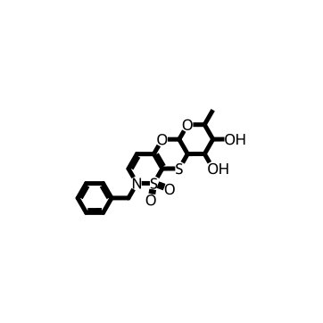 CC1OC2OC3=C(SC2C(O)C1O)S(=O)(=O)N(Cc1ccccc1)C=C3